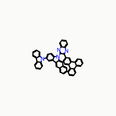 c1ccc2cc3c(cc2c1)c1cc(-n2c4ccccc4c4ccccc42)ccc1n3-c1nc2ccccc2nc1-c1ccc2c3ccccc3c3ccccc3c2c1